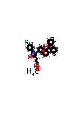 COOCCC[C@H]1C(=O)N(c2ccc(F)cc2)[C@@H]1c1ccc(OC(c2ccccc2)(c2ccccc2)c2ccccc2)cc1